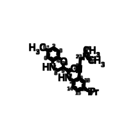 Cc1ccc2c(c1)NCC(C(=O)Nc1ccc(C(C)C)cc1C#CCN(C)C)O2